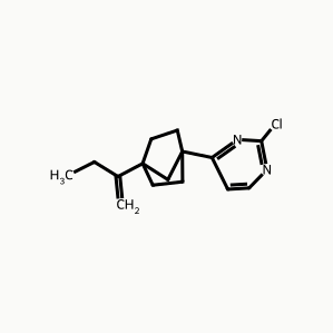 C=C(CC)C12CCC(c3ccnc(Cl)n3)(CC1)C2